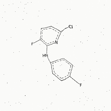 Fc1ccc(Nc2nc(Cl)ccc2F)cc1